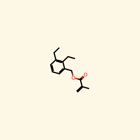 C=C(C)C(=O)OCc1cccc(CC)c1CC